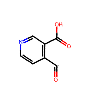 O=[C]c1ccncc1C(=O)O